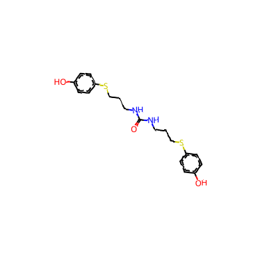 O=C(NCCCSc1ccc(O)cc1)NCCCSc1ccc(O)cc1